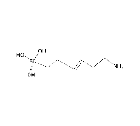 NCCC=CCC[Si](O)(O)O